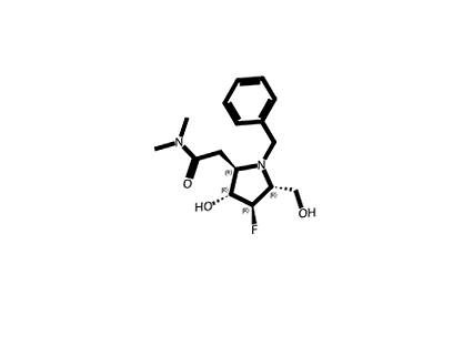 CN(C)C(=O)C[C@@H]1[C@@H](O)[C@H](F)[C@@H](CO)N1Cc1ccccc1